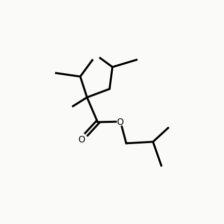 CC(C)COC(=O)C(C)(CC(C)C)C(C)C